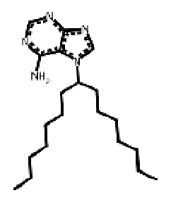 CCCCCCCC(CCCCCCC)n1cnc2ncnc(N)c21